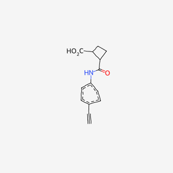 C#Cc1ccc(NC(=O)C2CCC2C(=O)O)cc1